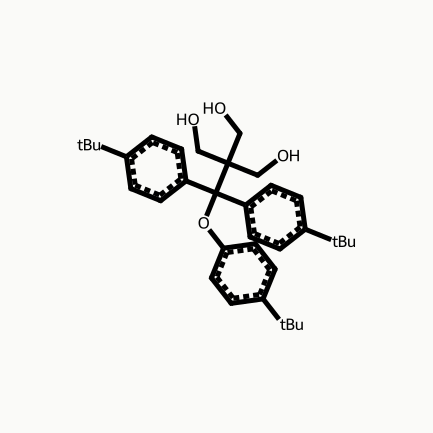 CC(C)(C)c1ccc(OC(c2ccc(C(C)(C)C)cc2)(c2ccc(C(C)(C)C)cc2)C(CO)(CO)CO)cc1